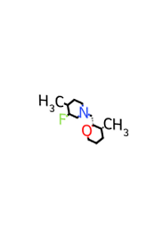 CC1CCN(C[C@H]2OCCC[C@H]2C)CC1F